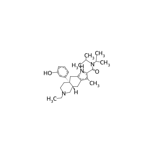 CCN1CC[C@@]2(c3cccc(O)c3)Cc3[nH]c(C(=O)N(C(C)C)C(C)C)c(C)c3C[C@@H]2C1